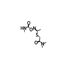 CNC(=O)ON=C(C)SCC(=O)N(C)C